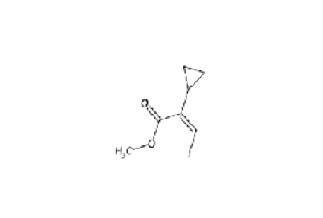 COC(=O)C(=CI)C1CC1